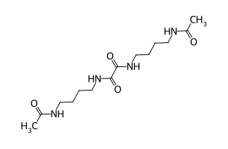 CC(=O)NCCCCNC(=O)C(=O)NCCCCNC(C)=O